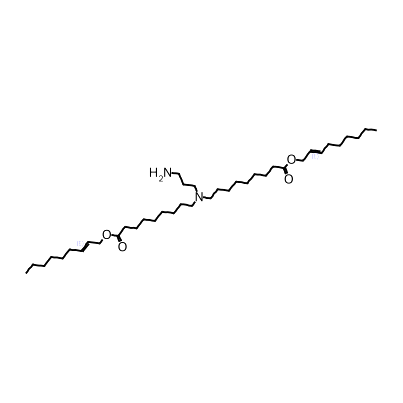 CCCCCC/C=C/COC(=O)CCCCCCCCN(CCCN)CCCCCCCCC(=O)OC/C=C/CCCCCC